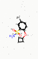 CC(C)c1ccc(OC2CCC2)c(S(N)(=O)=O)c1